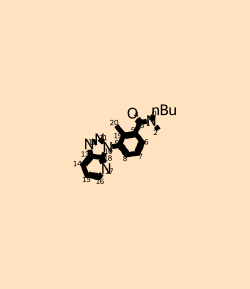 CCCCN(C)C(=O)c1cccc(-n2nnc3cccnc32)c1C